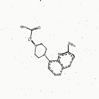 CNc1ccc2cccc(N3CCN(OC(=O)C(C)(C)C)CC3)c2n1